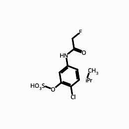 CC(C)C.O=C(CF)Nc1ccc(Cl)c(OS(=O)(=O)O)c1